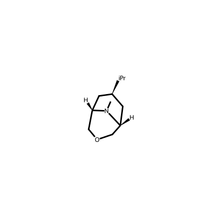 CC(C)[C@@H]1C[C@H]2COC[C@@H](C1)N2C